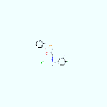 CC(NCC(O)CP(=O)(O)Cc1ccccc1)c1ccc(Cl)c(I)c1.Cl